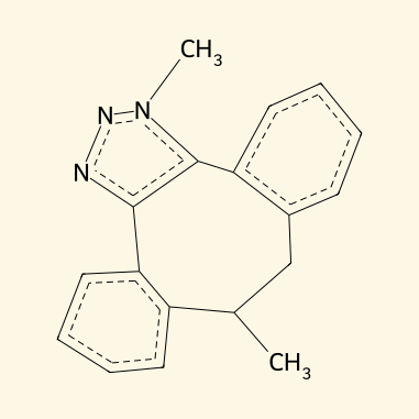 CC1Cc2ccccc2-c2c(nnn2C)-c2ccccc21